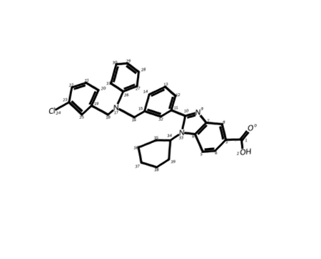 O=C(O)c1ccc2c(c1)nc(-c1cccc(CN(Cc3cccc(Cl)c3)c3ccccc3)c1)n2C1CCCCC1